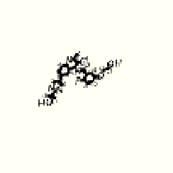 Cc1nc2ccc(-c3cnc(C(C)(C)O)nc3)cc2c(N[C@H](C)c2cc(OCCO)ccc2F)c1Cl